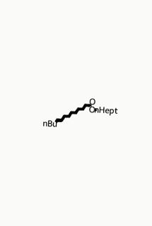 CCCCC=CCCCCCCCC(=O)OCCCCCCC